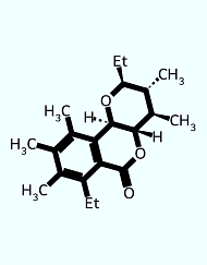 CCc1c(C)c(C)c(C)c2c1C(=O)O[C@H]1[C@H](C)[C@@H](C)[C@H](CC)O[C@H]21